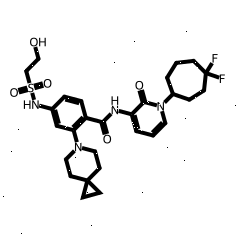 O=C(Nc1cccn(C2CCCC(F)(F)CC2)c1=O)c1ccc(NS(=O)(=O)CCO)cc1N1CCC2(CC1)CC2